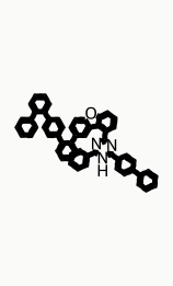 c1ccc(-c2ccc(C3=NC(c4cccc5oc6ccc(-c7ccccc7-c7ccc(-c8ccccc8-c8ccccc8)cc7)cc6c45)=NC(c4ccccc4)N3)cc2)cc1